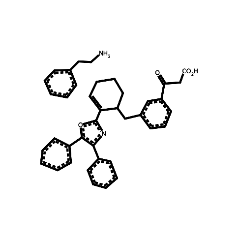 NCCc1ccccc1.O=C(O)CC(=O)c1cccc(CC2CCCC=C2c2nc(-c3ccccc3)c(-c3ccccc3)o2)c1